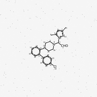 Cc1cc(C)n(C(C=O)N2CCN(c3ccccc3-c3ccc(Cl)cc3)CC2)n1